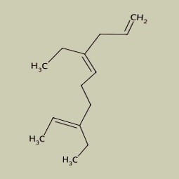 C=CCC(=CCCC(=CC)CC)CC